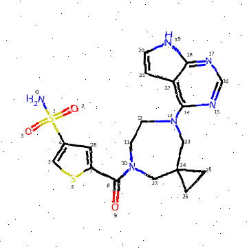 NS(=O)(=O)c1csc(C(=O)N2CCN(c3ncnc4[nH]ccc34)CC3(CC3)C2)c1